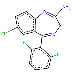 NC1=Nc2ccc(Cl)cc2C(c2c(F)cccc2F)=NC1